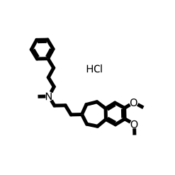 COc1cc2c(cc1OC)CCC(CCCN(C)CCCc1ccccc1)CC2.Cl